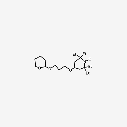 CCC1(CC)CC(OCCCOC2CCCCO2)CC(CC)(CC)N1[O]